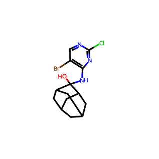 OC1(Nc2nc(Cl)ncc2Br)C2CC3CC(C2)CC1C3